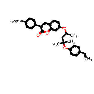 C=Cc1ccc(OC(C)(C)CC(C)Oc2ccc3cc(-c4ccc(CCCCC)cc4)c(=O)oc3c2)cc1